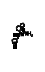 Nc1nc(NCC2CCCNC2)c2c(n1)C1(CCCC1)CCC2